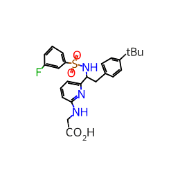 CC(C)(C)c1ccc(CC(NS(=O)(=O)c2cccc(F)c2)c2cccc(NCC(=O)O)n2)cc1